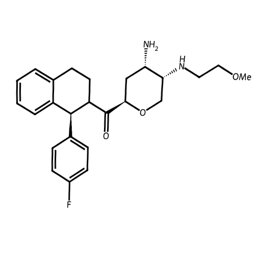 COCCN[C@@H]1CO[C@@H](C(=O)C2CCc3ccccc3[C@@H]2c2ccc(F)cc2)C[C@@H]1N